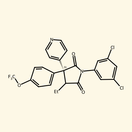 CCC1C(=O)N(c2cc(Cl)cc(Cl)c2)C(=O)[C@]1(c1ccncc1)c1ccc(OC(F)(F)F)cc1